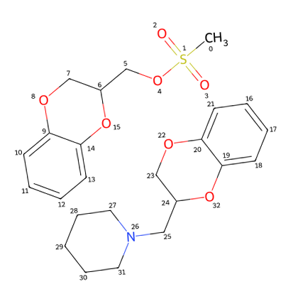 CS(=O)(=O)OCC1COc2ccccc2O1.c1ccc2c(c1)OCC(CN1CCCCC1)O2